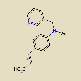 CC(=O)N(Cc1cccnc1)c1ccc(/C=C/C(=O)O)cc1